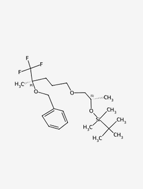 C[C@@H](COCCC[C@@](C)(OCc1ccccc1)C(F)(F)F)O[Si](C)(C)C(C)(C)C